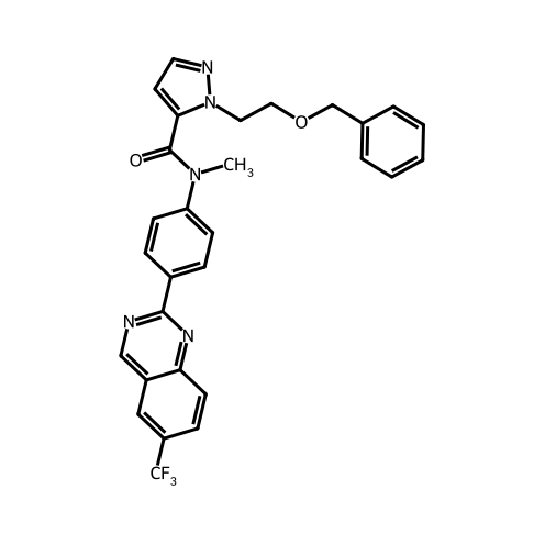 CN(C(=O)c1ccnn1CCOCc1ccccc1)c1ccc(-c2ncc3cc(C(F)(F)F)ccc3n2)cc1